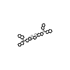 c1ccc2cc(N(c3ccc4ccccc4c3)c3ccc4cc5c(cc4c3)oc3c5ccc4c5cc6ccc(N(c7ccc8ccccc8c7)c7ccc8ccccc8c7)cc6cc5oc43)ccc2c1